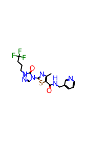 Cc1nc(-n2cnn(CCCC(F)(F)F)c2=O)sc1C(=O)NCc1cccnc1